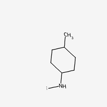 [C]NC1CCC(C)CC1